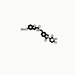 COc1ccc2oc(C(=O)NCc3ccc4c(c3)CN(C3CCC(=O)NC3=O)C4=O)cc2c1